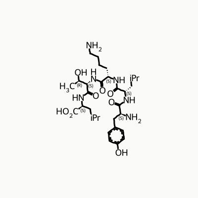 CC(C)C[C@H](NC(=O)[C@@H](NC(=O)[C@H](CCCCN)NC(=O)[C@H](CC(C)C)NC(=O)[C@@H](N)Cc1ccc(O)cc1)[C@@H](C)O)C(=O)O